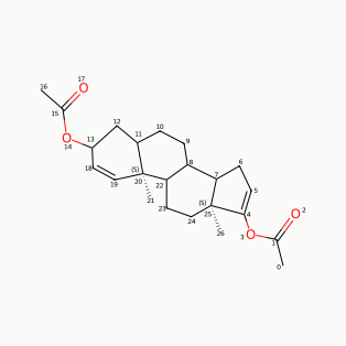 CC(=O)OC1=CCC2C3CCC4CC(OC(C)=O)C=C[C@]4(C)C3CC[C@]12C